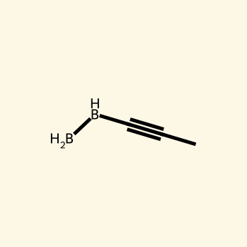 BBC#CC